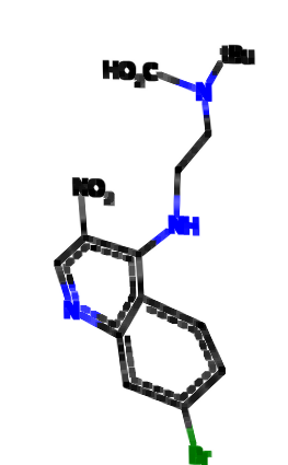 CC(C)(C)N(CCNc1c([N+](=O)[O-])cnc2cc(Br)ccc12)C(=O)O